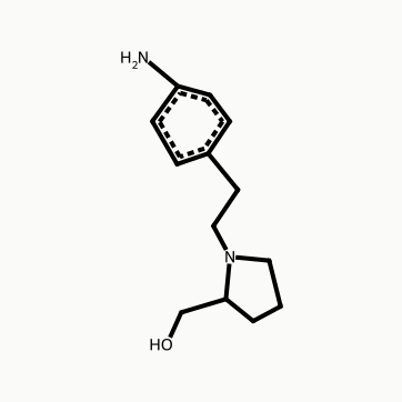 Nc1ccc(CCN2CCCC2CO)cc1